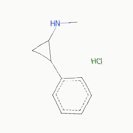 CNC1CC1c1ccccc1.Cl